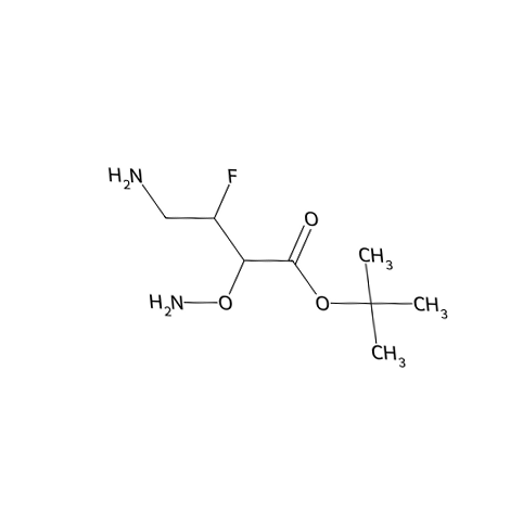 CC(C)(C)OC(=O)C(ON)C(F)CN